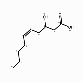 CCCC/C=C\CC(O)CC(=O)O